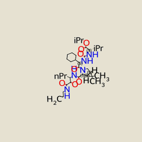 C=CCNC(=O)C(=O)C(CCC)NC(=O)[C@@H]1[C@@H]2[C@H](CN1C(=O)[C@@H](NC(=O)N[C@H](C(=O)OC(C)C)C(C)C)C1CCCCC1)C2(C)C